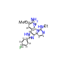 CCNc1nccc(-c2nc(-c3ccc(F)cc3)[nH]c2-c2cnc(N)c(OC)c2)n1